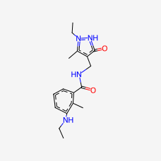 CCNc1cccc(C(=O)NCc2c(C)n(CC)[nH]c2=O)c1C